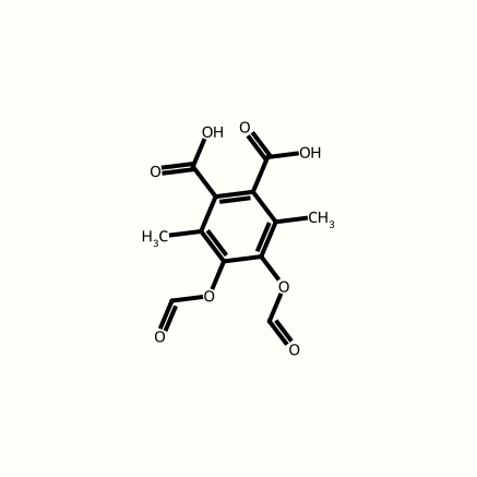 Cc1c(OC=O)c(OC=O)c(C)c(C(=O)O)c1C(=O)O